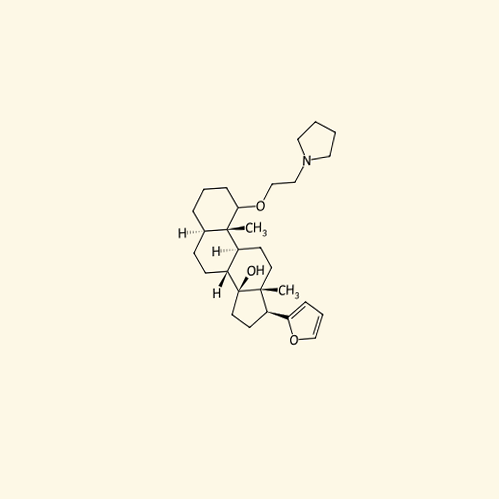 C[C@]12C(OCCN3CCCC3)CCC[C@@H]1CC[C@@H]1[C@@H]2CC[C@]2(C)[C@@H](c3ccco3)CC[C@]12O